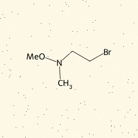 CON(C)CCBr